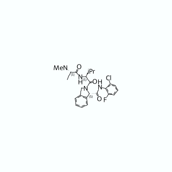 CN[C@@H](C)C(=O)N[C@H](C(=O)N1Cc2ccccc2[C@H]1C(=O)Nc1c(F)cccc1Cl)C(C)C